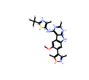 COc1cc2c(cc1-c1c(C)noc1C)[nH]c1nc(C)nc(Nc3sc(C(C)(C)C)nc3C)c12